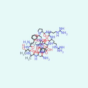 C[C@H](NC(=O)[C@@H](NC(=O)[C@@H](N)Cc1ccccc1)[C@@H](C)O)C(=O)N[C@@H](CC(N)=O)C(=O)N[C@@H](CC(=O)O)C(=O)N[C@@H](CO)C(=O)NCC(=O)N1CCC[C@H]1C(=O)N[C@@H](CCCNC(=N)N)C(=O)N[C@@H](CCCNC(=N)N)C(=O)N[C@@H](Cc1ccc(O)cc1)C(=O)N[C@H](C(=O)O)[C@@H](C)O